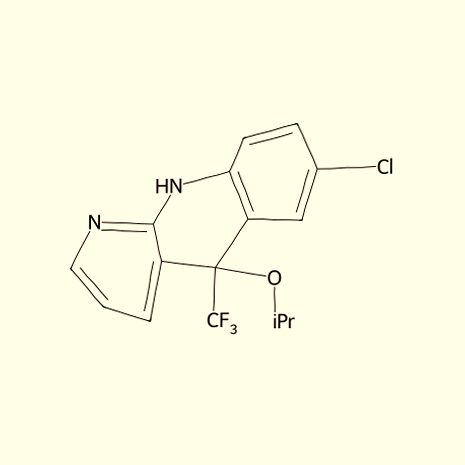 CC(C)OC1(C(F)(F)F)c2cc(Cl)ccc2Nc2ncccc21